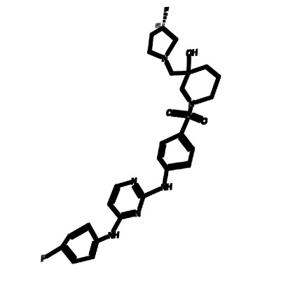 O=S(=O)(c1ccc(Nc2nccc(Nc3ccc(F)cc3)n2)cc1)N1CCCC(O)(CN2CC[C@H](F)C2)C1